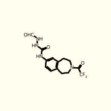 O=CNNC(=O)Nc1ccc2c(c1)CCN(C(=O)C(F)(F)F)CC2